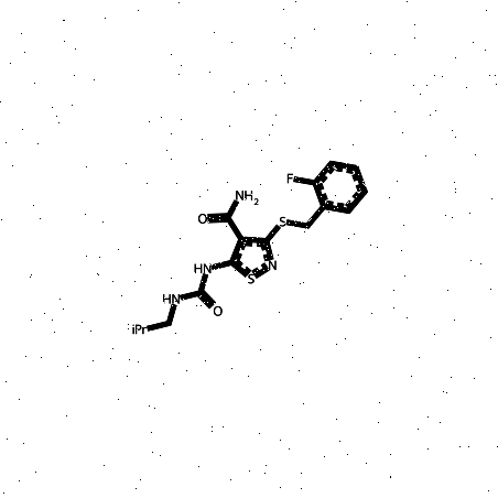 CC(C)CNC(=O)Nc1snc(SCc2ccccc2F)c1C(N)=O